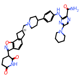 NC(=O)c1ncc(N2CCCCC2)nc1Nc1ccc(C2CCN(C[C@H]3Cc4ccc5c(C6CCC(=O)NC6=O)noc5c4C3)CC2)cc1